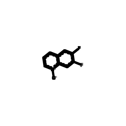 [O-][n+]1cccc2cc(F)c(F)cc21